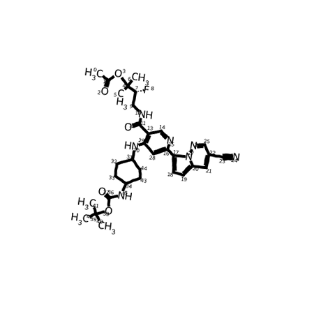 CC(=O)OC(C)(C)[C@H](F)CNC(=O)c1cnc(-c2ccc3cc(C#N)cnn23)cc1NC1CCC(NC(=O)OC(C)(C)C)CC1